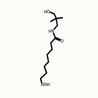 CCCCCCCCCCCCCCCCCC(=O)NCC(C)(C)CO